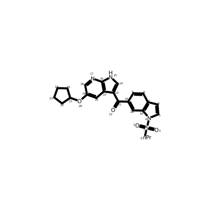 CCCS(=O)(=O)n1ccc2ccc(C(=O)c3c[nH]c4ncc(OC5CCCC5)cc34)cc21